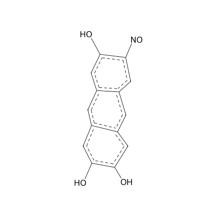 O=Nc1cc2cc3cc(O)c(O)cc3cc2cc1O